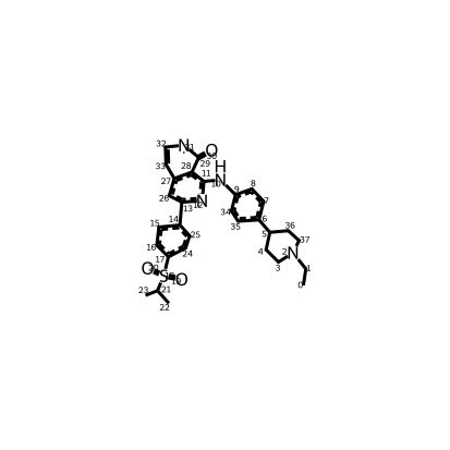 CCN1CCC(c2ccc(Nc3nc(-c4ccc(S(=O)(=O)C(C)C)cc4)cc4c3C(=O)[N]C=C4)cc2)CC1